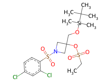 CCS(=O)(=O)OC1(CO[Si](C)(C)C(C)(C)C)CN(S(=O)(=O)c2ccc(Cl)cc2Cl)C1